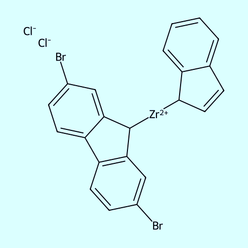 Brc1ccc2c(c1)[CH]([Zr+2][CH]1C=Cc3ccccc31)c1cc(Br)ccc1-2.[Cl-].[Cl-]